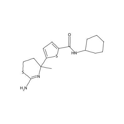 CC1(c2ccc(C(=O)NC3CCCCC3)s2)CCSC(N)=N1